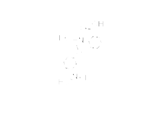 CC(Cc1ccc(N(C)C)cc1)C(=O)Nc1ccccc1C(=O)O